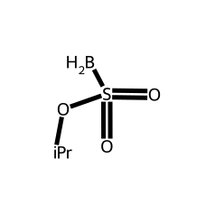 BS(=O)(=O)OC(C)C